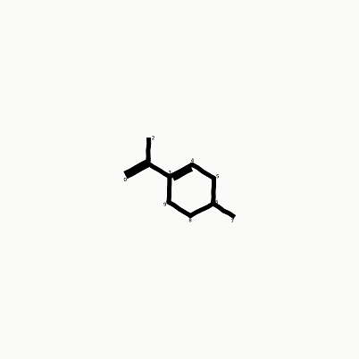 C=C(C)C1=CCC(C)CC1